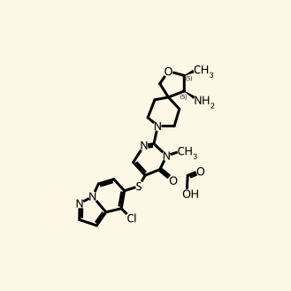 C[C@@H]1OCC2(CCN(c3ncc(Sc4ccn5nccc5c4Cl)c(=O)n3C)CC2)[C@@H]1N.O=CO